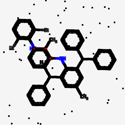 CCc1cccc(CC)c1NC(C)C(C)Nc1c(C(c2ccccc2)c2ccccc2)cc(C)cc1C(c1ccccc1)c1ccccc1